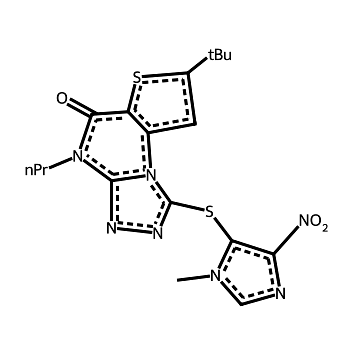 CCCn1c(=O)c2sc(C(C)(C)C)cc2n2c(Sc3c([N+](=O)[O-])ncn3C)nnc12